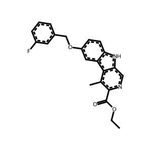 CCOC(=O)c1ncc2[nH]c3ccc(OCc4cccc(F)c4)cc3c2c1C